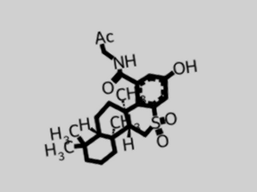 CC(=O)CNC(=O)c1cc(O)cc2c1[C@]1(C)CC[C@H]3C(C)(C)CCC[C@]3(C)[C@H]1CS2(=O)=O